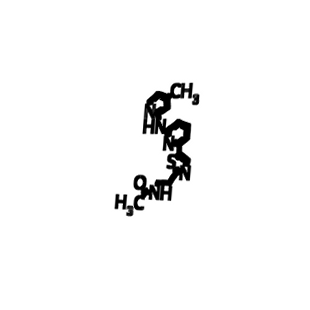 CC(=O)NCCc1ncc(-c2cccc(Nc3cc(C)ccn3)n2)s1